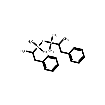 CC(Cc1ccccc1)[Si](C)(C)O[Si](C)(C)C(C)Cc1ccccc1